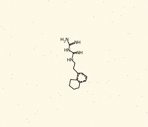 N=C(N)NC(=N)NCCc1cccc2c1CCCC2